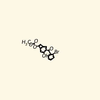 COC(=O)OC1=Cc2cc(C(=O)c3ccccc3Br)c(O)cc21